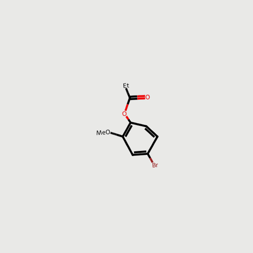 CCC(=O)Oc1ccc(Br)cc1OC